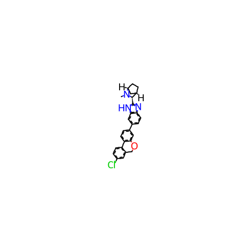 CN1[C@@H]2CC[C@@H](C2)[C@H]1c1nc2ccc(-c3ccc4c(c3)OCc3cc(Cl)ccc3-4)cc2[nH]1